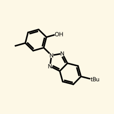 Cc1ccc(O)c(-n2nc3ccc(C(C)(C)C)cc3n2)c1